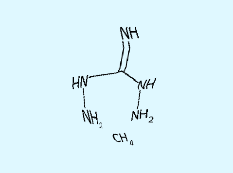 C.N=C(NN)NN